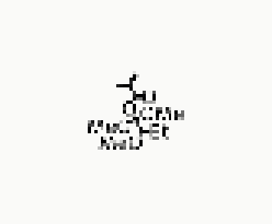 C=C(C)C(=O)OC(OC)(OC)C(CC)OC